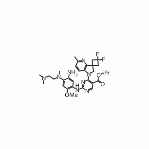 COc1cc(N(C)CCN(C)C)c(N)cc1Nc1ncc(C(=O)OC(C)C)c(N2CC3(CC(F)(F)C3)c3nc(C)ccc32)n1